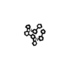 C1=CCCC(c2cccc(N3c4ccccc4C4C=CCC(c5ccc6c(c5)c5c(n6-c6cccc(-c7ccccc7)c6)CCC=C5)C43)c2)=C1